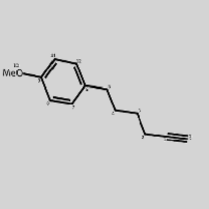 [C]#CCCCCc1ccc(OC)cc1